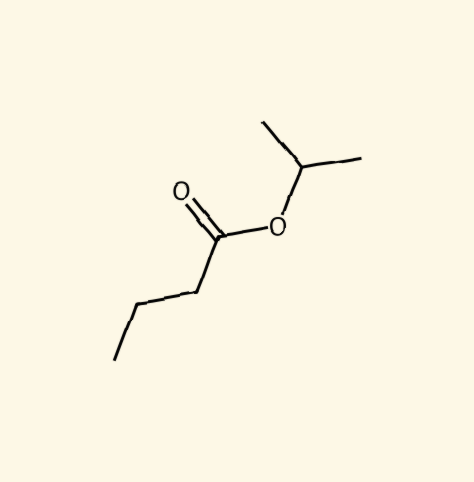 CCCC(=O)OC(C)C